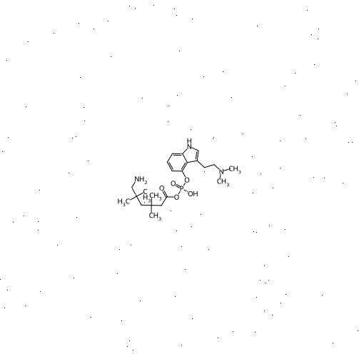 CN(C)CCc1c[nH]c2cccc(OP(=O)(O)OC(=O)CC(C)(C)CC(C)(C)CN)c12